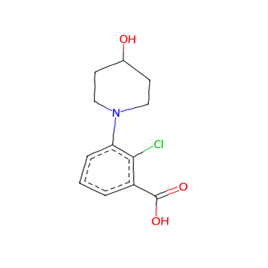 O=C(O)c1cccc(N2CCC(O)CC2)c1Cl